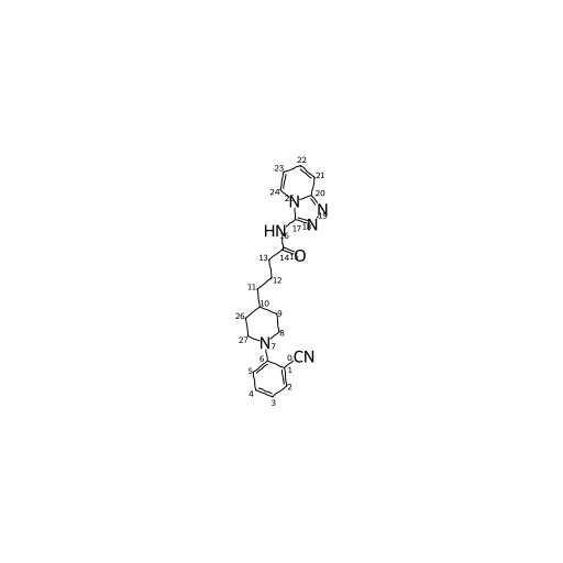 N#Cc1ccccc1N1CCC(CCCC(=O)Nc2nnc3ccccn23)CC1